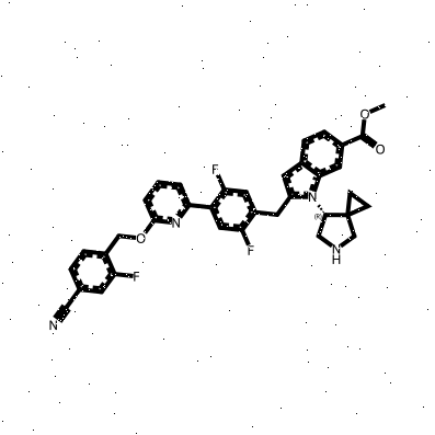 COC(=O)c1ccc2cc(Cc3cc(F)c(-c4cccc(OCc5ccc(C#N)cc5F)n4)cc3F)n([C@H]3CNCC34CC4)c2c1